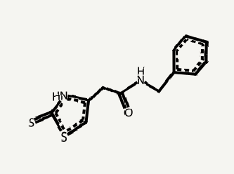 O=C(Cc1csc(=S)[nH]1)NCc1ccccc1